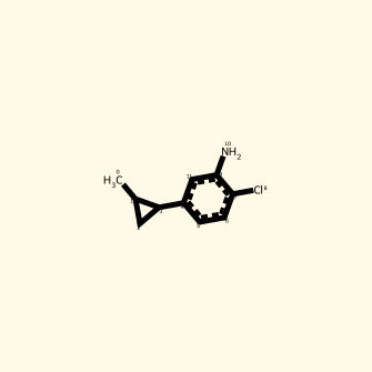 CC1C[C]1c1ccc(Cl)c(N)c1